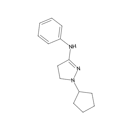 c1ccc(NC2=NN(C3CCCC3)CC2)cc1